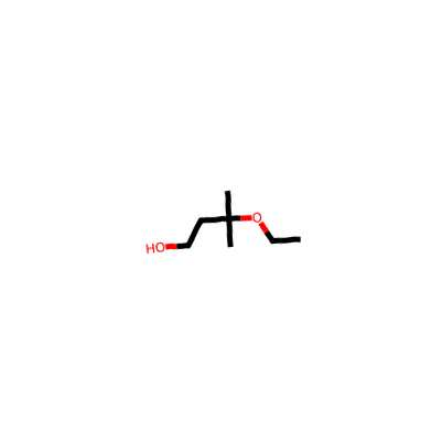 CCOC(C)(C)CCO